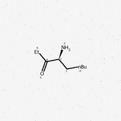 CCCCC[C@H](N)C(=O)CC